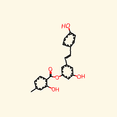 Cc1ccc(C(=O)Oc2cc(O)cc(/C=C/c3ccc(O)cc3)c2)c(O)c1